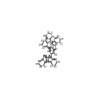 c1ccc([Si](c2ccccc2)(c2ccccc2)c2ccccc2-c2cccc(-n3c4ccccc4n4c5ccccc5nc34)c2)cc1